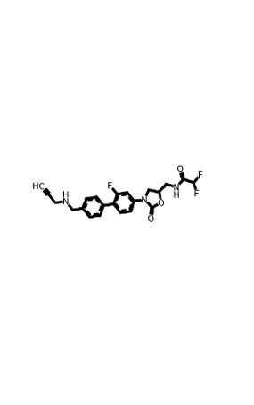 C#CCNCc1ccc(-c2ccc(N3CC(CNC(=O)C(F)F)OC3=O)cc2F)cc1